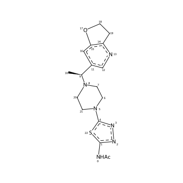 CC(=O)Nc1nnc(N2CCN([C@@H](C)c3cnc4c(c3)OCC4)CC2)s1